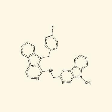 Cn1c2ccccc2c2cc(CNc3nccc4c5ccccc5n(Cc5ccc(F)cc5)c34)ncc21